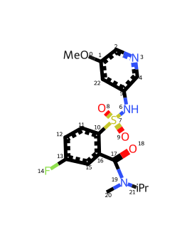 COc1cncc(NS(=O)(=O)c2ccc(F)cc2C(=O)N(C)C(C)C)c1